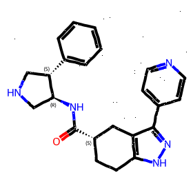 O=C(N[C@H]1CNC[C@@H]1c1ccccc1)[C@H]1CCc2[nH]nc(-c3ccncc3)c2C1